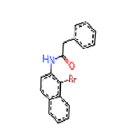 O=C(Cc1ccccc1)Nc1ccc2ccccc2c1Br